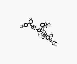 Cn1c(=O)[nH]c2cccc(Oc3cc(N4CCN(CC5=C(c6ccc(Cl)cc6)CC(C)(C)CC5)CC4)ccc3C(=O)NS(=O)(=O)c3ccc(OCC4CCOCC4)c(Cl)c3)c21